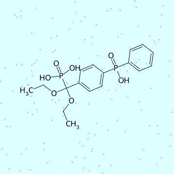 CCOC(OCC)(c1ccc(P(=O)(O)c2ccccc2)cc1)P(=O)(O)O